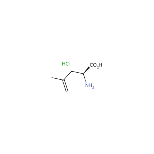 C=C(C)C[C@H](N)C(=O)O.Cl